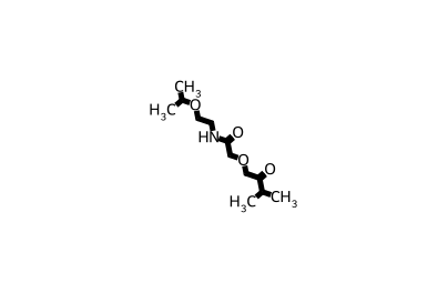 CC(C)OCCNC(=O)COCC(=O)C(C)C